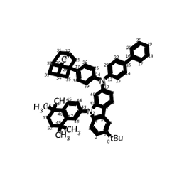 CC(C)(C)c1ccc2c(c1)c1ccc(N(c3ccc(-c4ccccc4)cc3)c3ccc(C45CC6CC7CC(C4)C75C6)cc3)cc1n2-c1ccc2c(c1)C(C)(C)CCC2(C)C